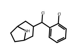 Clc1ccccc1C(Cl)C1CC2CCC(C1)N2